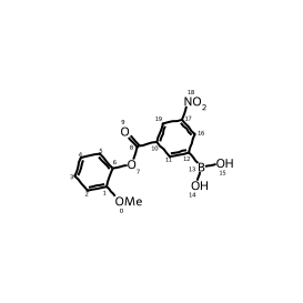 COc1ccccc1OC(=O)c1cc(B(O)O)cc([N+](=O)[O-])c1